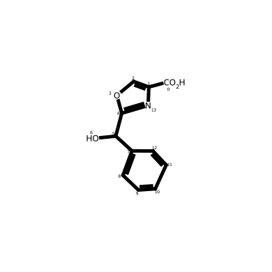 O=C(O)c1coc(C(O)c2ccccc2)n1